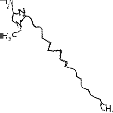 CCCCCCCCC=CCCCCCCCCC1=NC(N)CN1CC